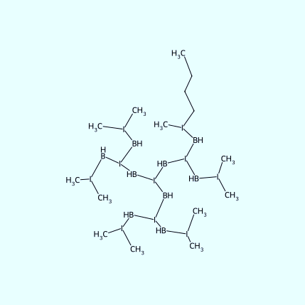 CCCCI(C)BI(BI(C)C)BI(BI(BI(C)C)BI(C)C)BI(BI(C)C)BI(C)C